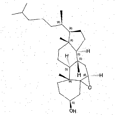 CC(C)CCC[C@@H](C)[C@H]1CC[C@H]2[C@@H]3C[C@H]4OC45C[C@@H](O)CC[C@]5(C)[C@H]3CC[C@]12C